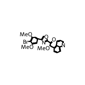 COc1cc(-c2coc(C(=O)C(OC)c3cccc4ncccc34)n2)cc(OC)c1Br